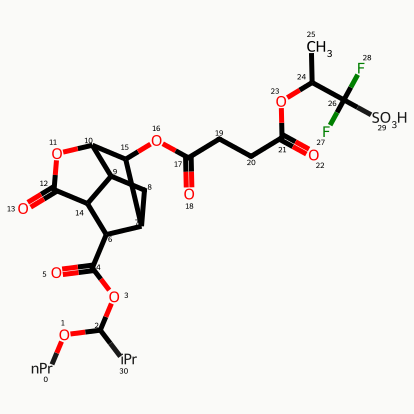 CCCOC(OC(=O)C1C2CC3C(OC(=O)C31)C2OC(=O)CCC(=O)OC(C)C(F)(F)S(=O)(=O)O)C(C)C